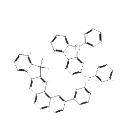 CC1(C)c2ccccc2-c2cc3ccc4ccc(-c5cccc(N(c6ccccc6)c6ccc7c8ccccc8n(-c8ccccc8)c7c6)c5)cc4c3cc21